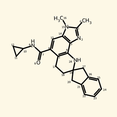 Cc1nc2c3c(c(C(=O)NC4CC4)cc2n1C)CCC1(Cc2ccccc2C1)N3